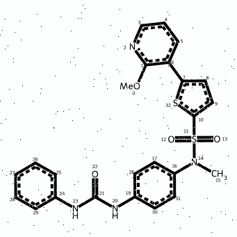 COc1ncccc1-c1ccc(S(=O)(=O)N(C)c2ccc(NC(=O)Nc3ccccc3)cc2)s1